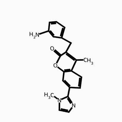 Cc1c(Cc2cccc(N)c2)c(=O)oc2cc(-c3nccn3C)ccc12